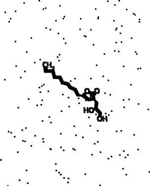 C=CCCCCCCCC[C@@H]1C[C@H](C[C@@H](O)CO)C(=O)O1